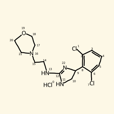 Cl.Clc1cccc(Cl)c1C1CNC(NCCN2CCOCC2)=N1